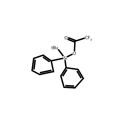 CC(C)(C)[Si](OC(=O)C(F)(F)F)(c1ccccc1)c1ccccc1